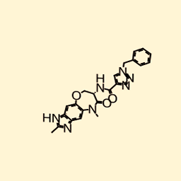 Cc1nc2cc3c(cc2[nH]1)OC[C@H](NC(=O)c1cn(Cc2ccccc2)nn1)C(=O)N3C